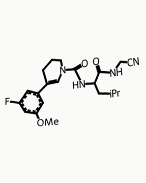 COc1cc(F)cc(C2=CN(C(=O)NC(CC(C)C)C(=O)NCC#N)CCC2)c1